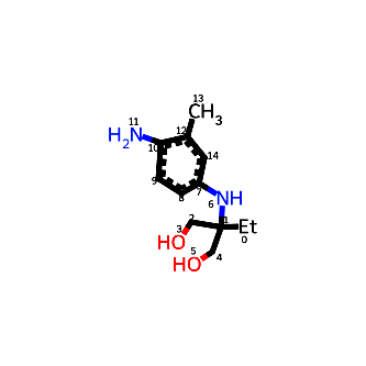 CCC(CO)(CO)Nc1ccc(N)c(C)c1